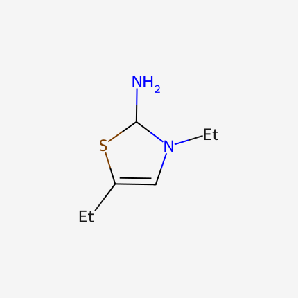 CCC1=CN(CC)C(N)S1